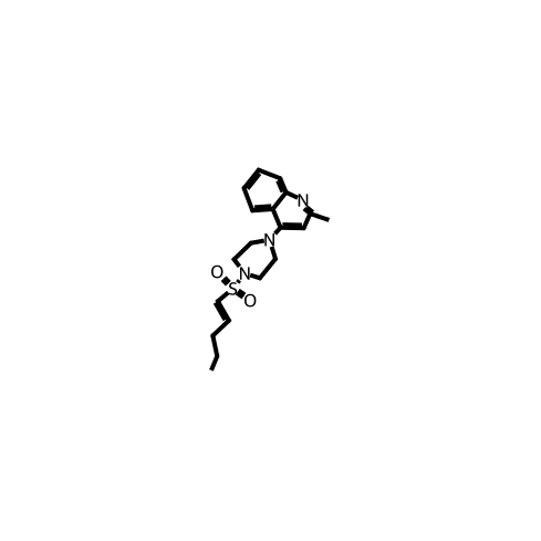 CCCC=CS(=O)(=O)N1CCN(c2cc(C)nc3ccccc23)CC1